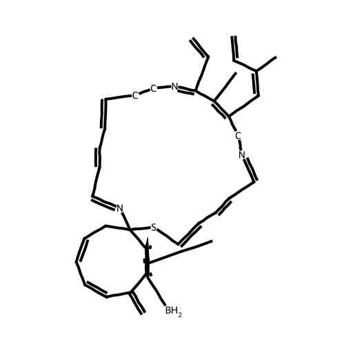 Bc1cc(C)cc2c1C(=C)/C=C\C=C/CC21/N=C/C=C\C=C\CC\N=C(C=C)/C(C)=C(/C=C(/C)C=C)C/N=C/C=C\C=C\S1